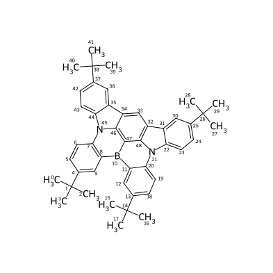 CC(C)(C)c1ccc2c(c1)B1c3cc(C(C)(C)C)ccc3-n3c4ccc(C(C)(C)C)cc4c4cc5c6cc(C(C)(C)C)ccc6n-2c5c1c43